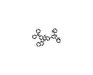 c1ccc(N(c2ccccc2)c2cc3c4c(c2)c2c5ccccc5ccc2n4-c2ccc(-c4cc(-c5ccccn5)nc(-c5ccccn5)c4)cc2S3)cc1